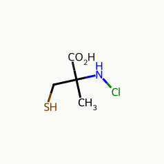 CC(CS)(NCl)C(=O)O